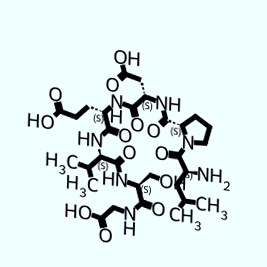 CC(C)C[C@H](N)C(=O)N1CCC[C@H]1C(=O)N[C@@H](CC(=O)O)C(=O)N[C@@H](CCC(=O)O)C(=O)N[C@H](C(=O)N[C@@H](CO)C(=O)NCC(=O)O)C(C)C